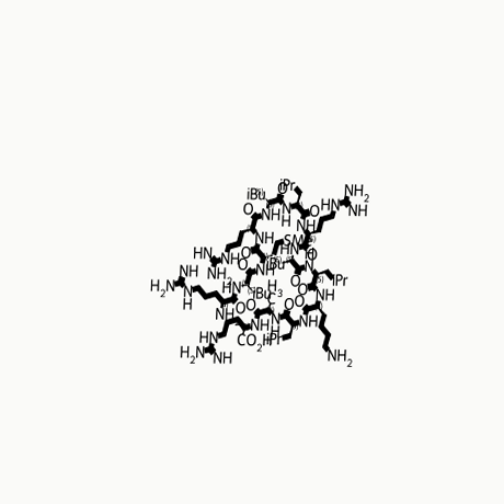 CC[C@H](C)[C@H](NC(=O)[C@H](CCCNC(=N)N)NC(=O)[C@H](CC(C)C)NC(=O)[C@@H](NC(=O)[C@H](CCCNC(=N)N)NC(=O)[C@H](CCSC)NC(=O)[C@@H](NC(=O)[C@@H](N)CCCNC(=N)N)[C@@H](C)CC)[C@@H](C)CC)C(=O)N[C@@H](CC(C)C)C(=O)N[C@@H](CCCCN)C(=O)N[C@@H](CC(C)C)C(=O)N[C@@H](C)C(=O)N[C@@H](CCCNC(=N)N)C(=O)O